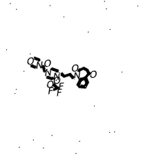 O=C1CCC(=O)N(CCCC[N+]2(OC(=O)C(F)(F)F)CCN(CC(=O)N3CCOCC3)CC2)c2ccccc21